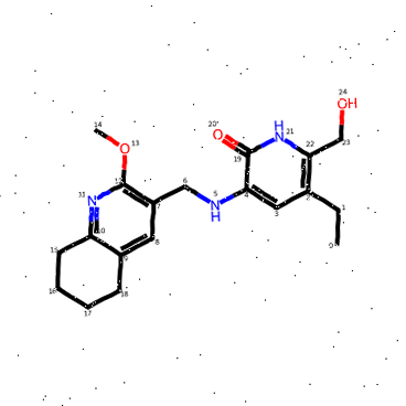 CCc1cc(NCc2cc3c(nc2OC)CCCC3)c(=O)[nH]c1CO